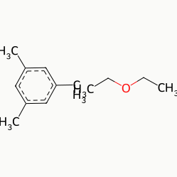 CCOCC.Cc1cc(C)cc(C)c1